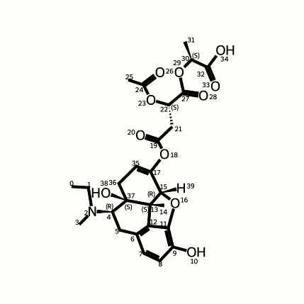 CCN(C)[C@@H]1Cc2ccc(O)c3c2[C@@]2(C)[C@@H](O3)C(OC(=O)C[C@H](OC(C)=O)C(=O)O[C@@H](C)C(=O)O)=CC[C@@]12O